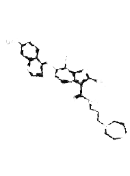 COc1ccc2c(Oc3ccc4c(C(=O)NCCCN5CCOCC5)c(C)oc4c3F)ccnc2c1